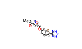 COC(=O)c1cc(COc2ccc3cc(C(=N)N)sc3c2)on1